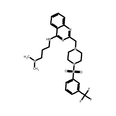 CN(C)CCCNc1nc(CN2CCN(S(=O)(=O)c3cccc(C(F)(F)F)c3)CC2)nc2ccccc12